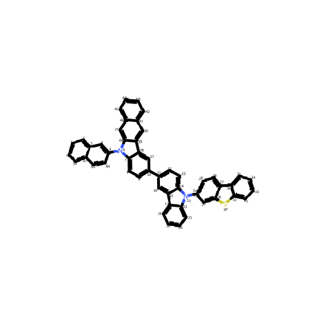 c1ccc2cc(-n3c4ccc(-c5ccc6c(c5)c5ccccc5n6-c5ccc6c(c5)sc5ccccc56)cc4c4cc5ccccc5cc43)ccc2c1